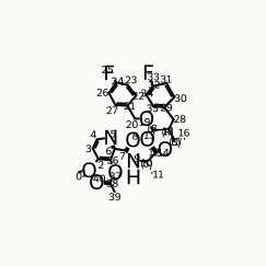 COc1ccnc(C(=O)N[C@@H](C)C(=O)O[C@@H](C)[C@@H](COCc2ccc(F)cc2)Cc2ccc(F)cc2)c1OC(C)=O